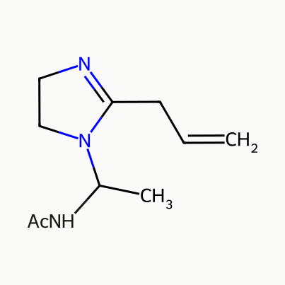 C=CCC1=NCCN1C(C)NC(C)=O